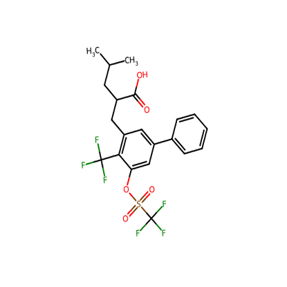 CC(C)CC(Cc1cc(-c2ccccc2)cc(OS(=O)(=O)C(F)(F)F)c1C(F)(F)F)C(=O)O